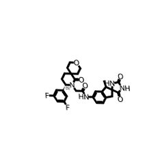 CC1c2cc(NC(=O)CN3C(=O)C4(CCOCC4)CC[C@H]3c3cc(F)cc(F)c3)ccc2CC12NC(=O)NC2=O